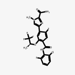 C[C@H](Oc1cc(-c2cn(C)c(C(N)=O)n2)c(F)cc1C(=O)Nc1c(F)cccc1Cl)C(F)(F)F